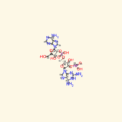 NC1=Nc2c(ncn2[C@@H]2O[C@H](COP(=O)(O)OC3C(O)[C@@H](CO)O[C@H]3n3cnc4c(N)ncnc43)C(O)C2OC[PH](=O)O)C(N)N1